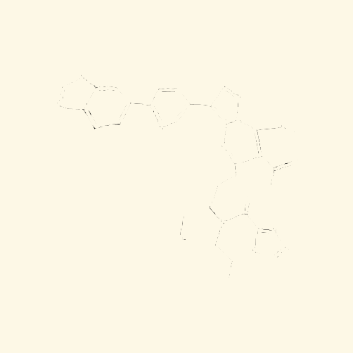 CCCN(C(=O)c1nnc[nH]1)[C@H](CC)CCc1nc2c(-c3ccc(-c4ccc5nc[nH]c5c4)nc3)cnn2c(N)c1C(C)=O